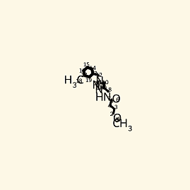 COCCCC(=O)NCc1cn(Cc2cccc(C)c2)nn1